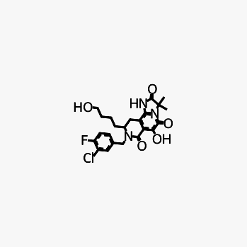 CC1(C)C(=O)Nc2c3c(c(O)c(=O)n21)C(=O)N(Cc1ccc(F)c(Cl)c1)C(CCCCO)C3